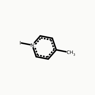 Cc1cc[n+](I)cc1